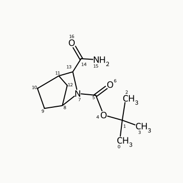 CC(C)(C)OC(=O)N1C2CCC(C2)C1C(N)=O